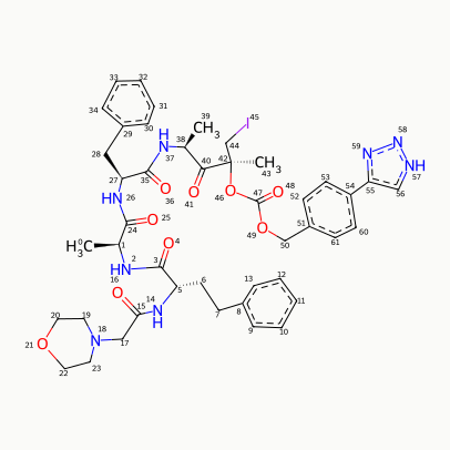 C[C@H](NC(=O)[C@H](CCc1ccccc1)NC(=O)CN1CCOCC1)C(=O)N[C@@H](Cc1ccccc1)C(=O)N[C@@H](C)C(=O)[C@@](C)(CI)OC(=O)OCc1ccc(-c2c[nH]nn2)cc1